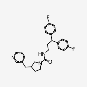 O=C(NCCC(c1ccc(F)cc1)c1ccc(F)cc1)N1CCC(Cc2cccnc2)C1